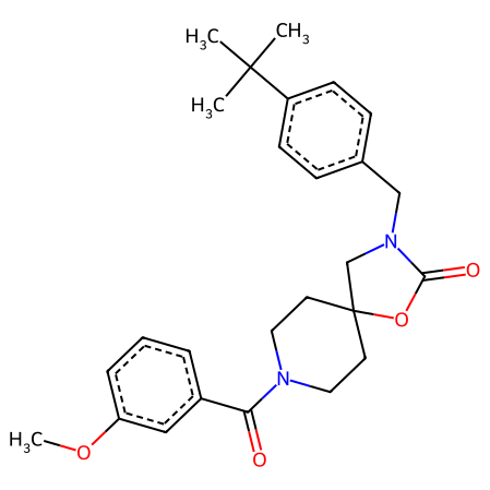 COc1cccc(C(=O)N2CCC3(CC2)CN(Cc2ccc(C(C)(C)C)cc2)C(=O)O3)c1